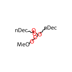 CCCCCCCCCCCCCCOC(COCCOCCOC)COC(=O)CCCCCCCCCCCCC